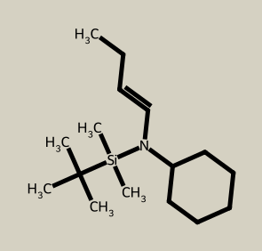 CCC=CN(C1CCCCC1)[Si](C)(C)C(C)(C)C